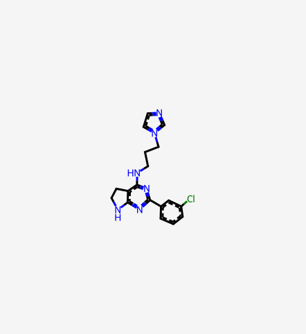 Clc1cccc(-c2nc(NCCCn3ccnc3)c3c(n2)NCC3)c1